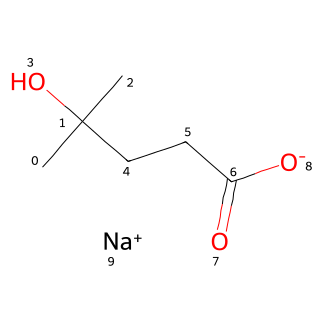 CC(C)(O)CCC(=O)[O-].[Na+]